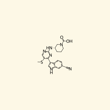 CSc1cnc(N[C@H]2CCCN(C(=O)O)C2)nc1-c1c[nH]c2cc(C#N)ccc12